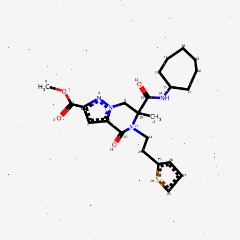 COC(=O)c1cc2n(n1)CC(C)(C(=O)NC1CCCCCC1)N(CCc1cccs1)C2=O